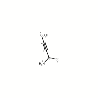 CCC(N)C#CC(=O)O